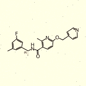 Cc1cc(F)cc([C@@H](C)NC(=O)c2ccc(OCc3ccncc3)nc2C)c1